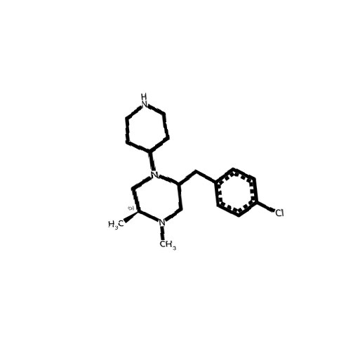 C[C@H]1CN(C2CCNCC2)C(Cc2ccc(Cl)cc2)CN1C